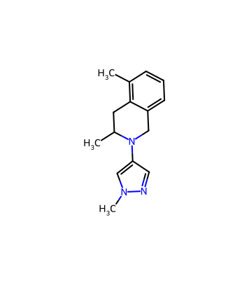 Cc1cccc2c1CC(C)N(c1cnn(C)c1)C2